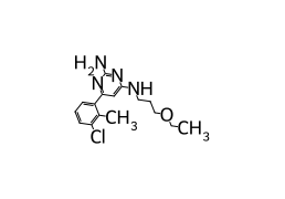 CCOCCCNc1cc(-c2cccc(Cl)c2C)nc(N)n1